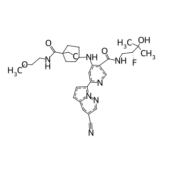 COCCNC(=O)C12CCC(Nc3cc(-c4ccc5cc(C#N)cnn45)ncc3C(=O)NC[C@@H](F)C(C)(C)O)(CC1)CC2